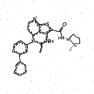 C=c1[nH]c2c(C(=O)N[C@@H]3CCC[C@@H]3C)sc3nccc(c32)n1-c1ccnc(-c2ccccc2)c1